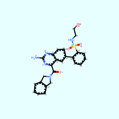 Nc1nc(C(=O)N2Cc3ccccc3C2)c2cc(-c3ccccc3S(=O)(=O)NCCO)ccc2n1